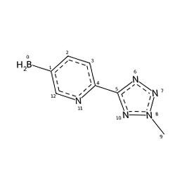 Bc1ccc(-c2nnn(C)n2)nc1